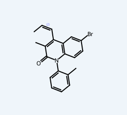 C/C=C\c1c(C)c(=O)n(-c2ccccc2C)c2ccc(Br)cc12